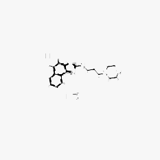 Cc1c(O)c2ccccc2c2nc(NCCCN3CCOCC3)sc12.Cl.Cl